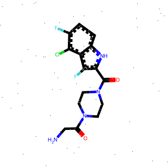 NCC(=O)N1CCN(C(=O)c2[nH]c3ccc(F)c(Cl)c3c2F)CC1